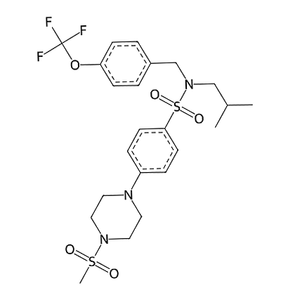 CC(C)CN(Cc1ccc(OC(F)(F)F)cc1)S(=O)(=O)c1ccc(N2CCN(S(C)(=O)=O)CC2)cc1